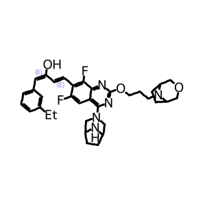 CCc1cccc(/C=C(O)\C=C\c2c(F)cc3c(N4CC5CCC(C4)N5)nc(OCCCN4C5CCC4COC5)nc3c2F)c1